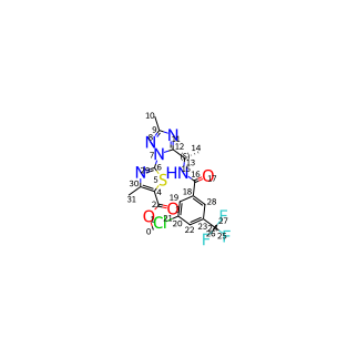 COC(=O)c1sc(-n2nc(C)nc2[C@H](C)NC(=O)c2cc(Cl)cc(C(F)(F)F)c2)nc1C